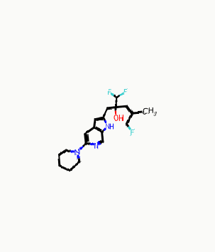 CC(CF)CC(O)(Cc1cc2cc(N3CCCCC3)ncc2[nH]1)C(F)F